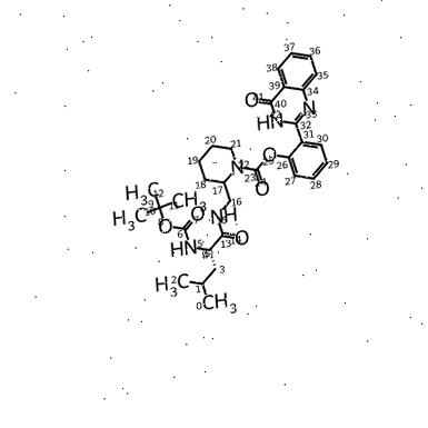 CC(C)C[C@H](NC(=O)OC(C)(C)C)C(=O)NCC1CCCCN1C(=O)Oc1ccccc1-c1nc2ccccc2c(=O)[nH]1